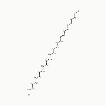 CCCCCCCC/C=C/CCCCCCCCCCCCCCCCCCC